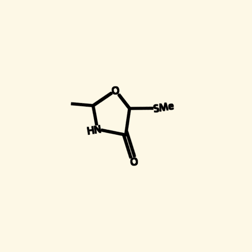 CSC1OC(C)NC1=O